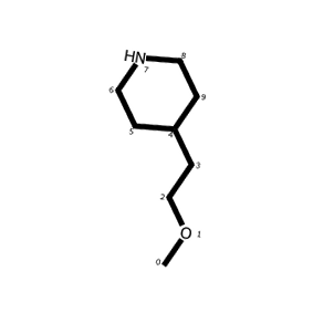 COCCC1CCNCC1